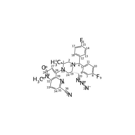 C[C@H]1CN(C(c2ccc(F)cc2)c2ccc(F)cc2)[C@H](CN=[N+]=[N-])CN1c1cc(=O)n(C)c2ccc(C#N)nc12